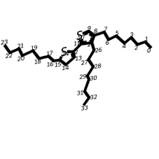 CCCCCCCCc1csc(C2=CCC(CCCCCCCC)S2)c1CCCCCCCC